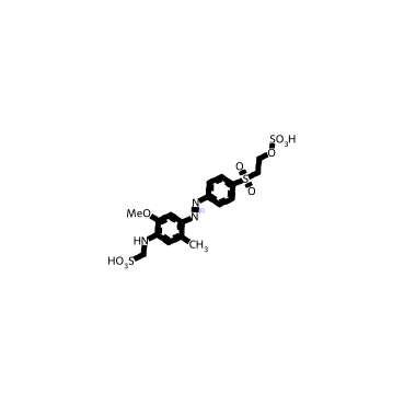 COc1cc(/N=N/c2ccc(S(=O)(=O)CCOS(=O)(=O)O)cc2)c(C)cc1NCS(=O)(=O)O